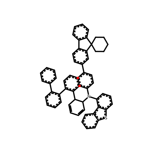 C1=CC(c2ccccc2-c2ccccc2-c2ccccc2)C(N(c2ccc(-c3ccc4c(c3)C3(CCCCC3)c3ccccc3-4)cc2)c2cccc3sc4ccccc4c23)C=C1